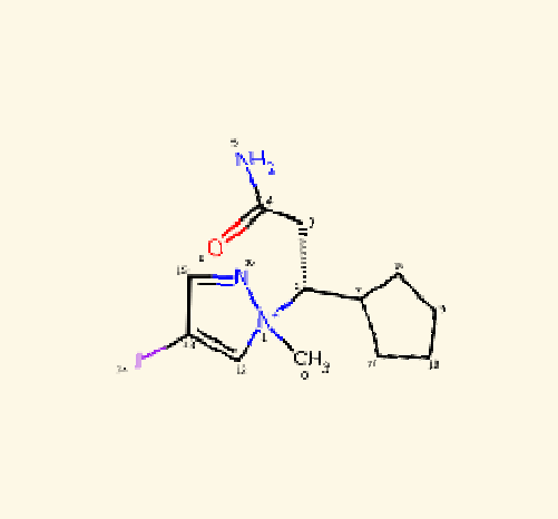 C[N+]1([C@H](CC(N)=O)C2CCCC2)C=C(I)C=N1